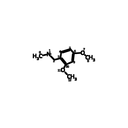 C[N]Cc1ccc(OC)cc1OC